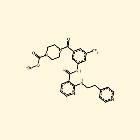 CC(C)(C)OC(=O)N1CCN(C(=O)c2cc(NC(=O)c3cccnc3NCCc3ccncc3)cc(C(F)(F)F)c2)CC1